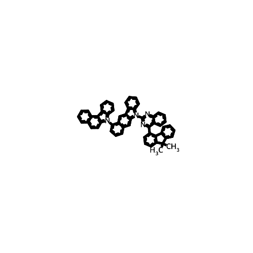 CC1(C)c2ccccc2-c2c(-c3nc(-n4c5ccccc5c5cc6c(-n7c8ccccc8c8c9ccccc9ccc87)cccc6cc54)nc4ccccc34)cccc21